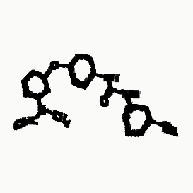 CN(C=O)c1cccc(Oc2ccc(NC(=O)Nc3cccc(C(C)(C)C)c3)cc2)c1